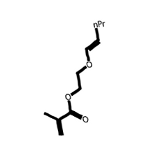 C=C(C)C(=O)OCCOC=CCCC